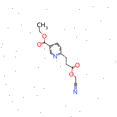 CCOC(=O)c1ccc(CCC(=O)OCC#N)nc1